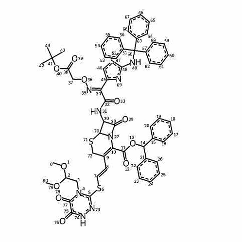 COC(Cn1c(SC=CC2=C(C(=O)OC(c3ccccc3)c3ccccc3)N3C(=O)C(NC(=O)C(=NOCC(=O)OC(C)(C)C)c4csc(NC(c5ccccc5)(c5ccccc5)c5ccccc5)n4)C3SC2)n[nH]c(=O)c1=O)OC